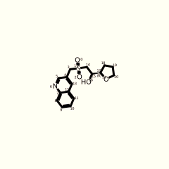 O=S(=O)(Cc1cnc2ccccc2c1)CC(O)[C@H]1CCCO1